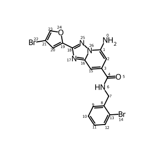 Nc1cc(C(=O)NCc2ccccc2Br)cc2nc(-c3cc(Br)co3)nn12